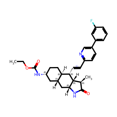 CCOC(=O)N[C@@H]1CC[C@@H]2[C@@H](C1)C[C@H]1NC(=O)[C@H](C)[C@H]1[C@H]2/C=C/c1ccc(-c2cccc(F)c2)cn1